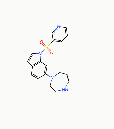 O=S(=O)(c1cccnc1)n1ccc2ccc(N3CCCNCC3)cc21